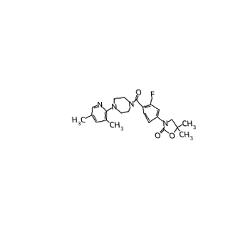 Cc1cnc(N2CCN(C(=O)c3ccc(N4CC(C)(C)OC4=O)cc3F)CC2)c(C)c1